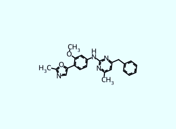 COc1cc(Nc2nc(C)cc(Cc3ccccc3)n2)ccc1-c1cnc(C)o1